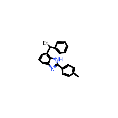 CCC(c1ccccc1)c1cccc2nc(-c3ccc(C)cc3)[nH]c12